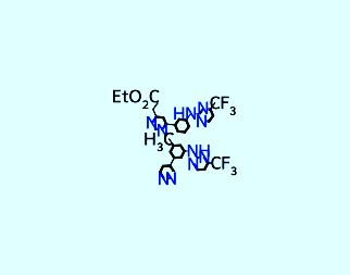 CCOC(=O)CCc1cc(-c2cccc(Nc3nccc(C(F)(F)F)n3)c2)ncn1.Cc1cc(Nc2nccc(C(F)(F)F)n2)cc(-c2ccnnc2)c1